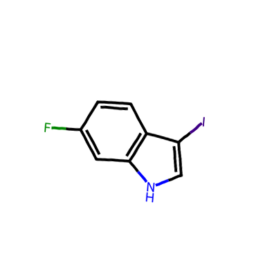 Fc1ccc2c(I)c[nH]c2c1